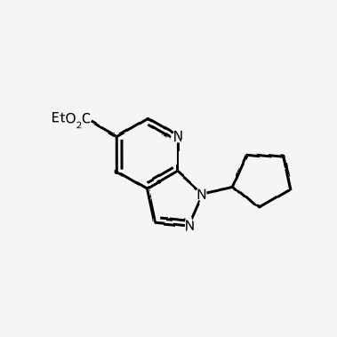 CCOC(=O)c1cnc2c(cnn2C2CCCC2)c1